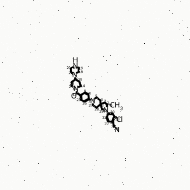 C[C@H]1CC2(CCN(c3ccc(C(=O)N4CCC(N5CCNCC5)CC4)cc3)CC2)CN1c1ccc(C#N)c(Cl)c1